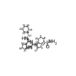 Cc1cc2c(C(N)=O)cccc2n1-c1nc(NCc2ccccc2)c2cccn2n1